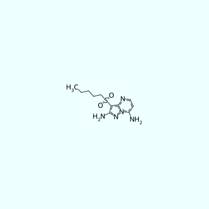 CCCCCS(=O)(=O)c1c(N)nn2c(N)ccnc12